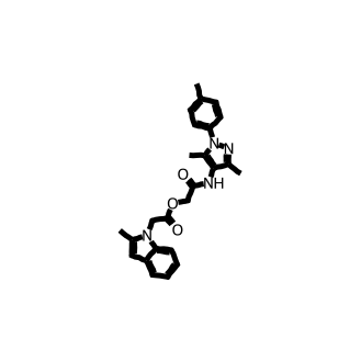 Cc1ccc(-n2nc(C)c(NC(=O)COC(=O)Cn3c(C)cc4ccccc43)c2C)cc1